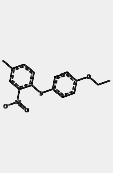 CCOc1ccc(Sc2ccc(C)cc2[N+](=O)[O-])cc1